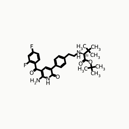 CC(C)(C)OC(=O)[C@@H](NCCc1ccc(-c2cc(C(=O)c3ccc(F)cc3F)c(N)[nH]c2=O)cc1)C(C)(C)C